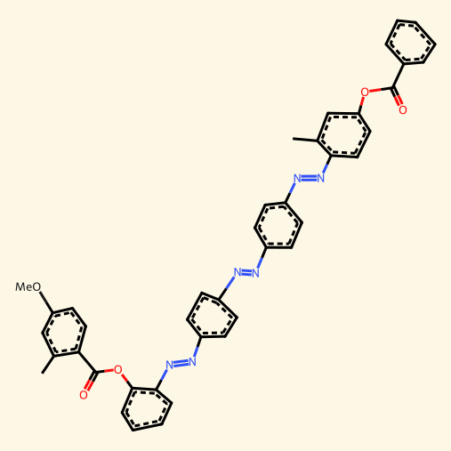 COc1ccc(C(=O)Oc2ccccc2N=Nc2ccc(N=Nc3ccc(N=Nc4ccc(OC(=O)c5ccccc5)cc4C)cc3)cc2)c(C)c1